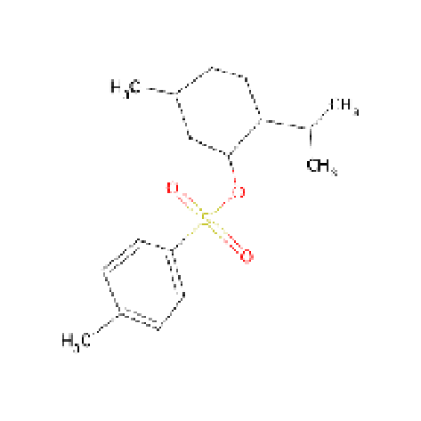 Cc1ccc(S(=O)(=O)OC2CC(C)CCC2C(C)C)cc1